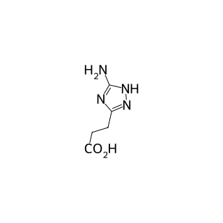 Nc1nc(CCC(=O)O)n[nH]1